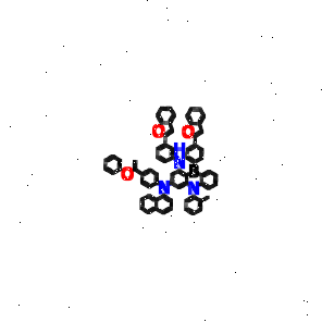 C=C(Oc1ccccc1)c1ccc(N(c2cc(Nc3cccc(-c4cc5ccccc5o4)c3)c3c(c2)N(c2ccccc2C)c2ccccc2B3c2ccc(-c3cc4ccccc4o3)cc2)c2cccc3ccccc23)cc1